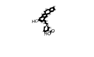 Cl.O=C(O)[C@@H]1CCCN(CCC=c2cccc3cc4c(cc23)=Cc2ccccc2CC4)C1